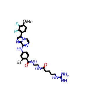 CCc1cc(Nc2nccn3c(-c4ccc(OC)c(F)c4F)cnc23)ccc1C(=O)NCCNC(=O)CCCCNC(=N)N